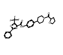 O=C(Nc1ccc(C2CCN(C(=O)C3CCCO3)CC2)cc1)c1nc(-c2ccccc2)oc1C(F)(F)F